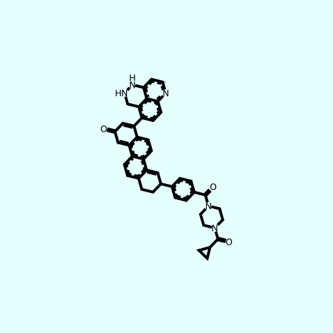 O=C1C=C(c2ccc3n[c]cc4c3c2CNN4)c2ccc3c4c(ccc3c2=C1)CCC(c1ccc(C(=O)N2CCN(C(=O)C3CC3)CC2)cc1)C=4